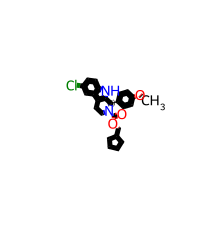 COc1ccc([C@H]2c3[nH]c4ccc(Cl)cc4c3CCN2C(=O)OCC2CCCC2)cc1